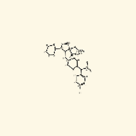 COC(=O)C1(CSC)N=CN(C2CCCCC2)C1CC1CCC(C(c2ccc(Cl)cc2)N(C)C)CC1